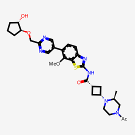 COc1c(-c2cnc(CO[C@H]3CCC[C@@H]3O)nc2)ccc2nc(NC(=O)[C@H]3C[C@@H](N4CCN(C(C)=O)C[C@@H]4C)C3)sc12